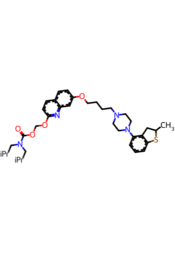 CC(C)CN(CC(C)C)C(=O)OCOc1ccc2ccc(OCCCCN3CCN(c4cccc5c4CC(C)S5)CC3)cc2n1